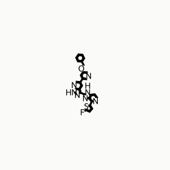 Fc1ccc(-c2nccc3[nH]c(-c4n[nH]c5ncc(-c6cncc(OCc7ccccc7)c6)cc45)nc23)s1